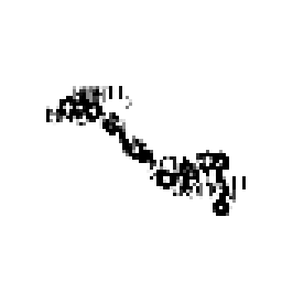 CNc1cc(N2CCN(CCN3CCC4(CC3)CC(COc3cccc(-c5ccc(N6CCc7cccc(C(=O)Nc8nc9ccccc9s8)c7C6)nc5C(=O)O)c3C)C4)CC2)ccc1C(=N)C1CCC(=O)NC1=O